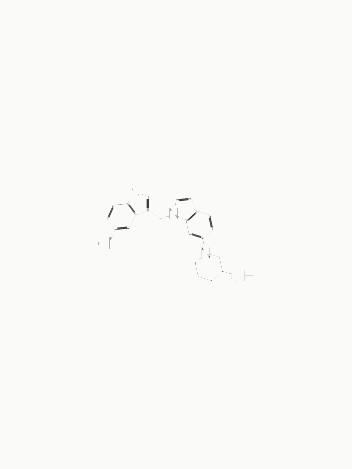 OC1CCCN(c2ccc3ccn(Cc4csc5ccc(Cl)cc45)c3c2)C1